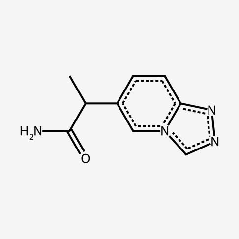 CC(C(N)=O)c1ccc2nncn2c1